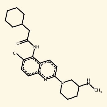 CNC1CCCN(c2ccc3c(NC(=O)CC4CCCCC4)c(Cl)ccc3n2)C1